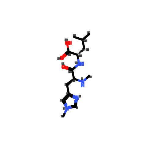 CN[C@@H](Cc1cn(C)cn1)C(=O)N[C@@H](CC(C)C)C(=O)O